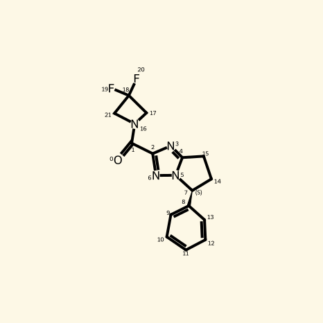 O=C(c1nc2n(n1)[C@H](c1ccccc1)CC2)N1CC(F)(F)C1